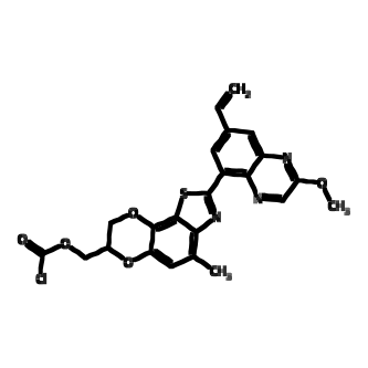 C=Cc1cc(-c2nc3c(C)cc4c(c3s2)OCC(COC(=O)Cl)O4)c2ncc(OC)nc2c1